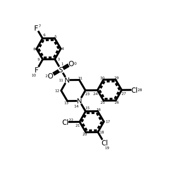 O=S(=O)(c1ccc(F)cc1F)N1CCN(c2ccc(Cl)cc2Cl)C(c2ccc(Cl)cc2)C1